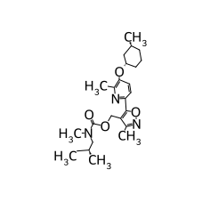 CC[C@H](C)CN(C)C(=O)OCc1c(C)noc1-c1ccc(O[C@H]2CCC[C@H](C)C2)c(C)n1